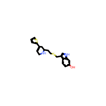 Oc1ccc2c(CSCCC3CC(c4cccs4)=CCN3)c[nH]c2c1